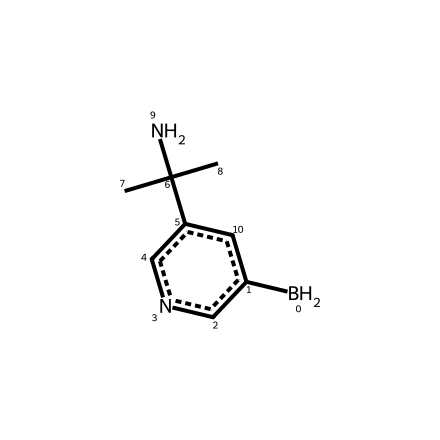 Bc1cncc(C(C)(C)N)c1